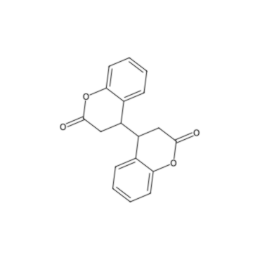 O=C1CC(C2CC(=O)Oc3ccccc32)c2ccccc2O1